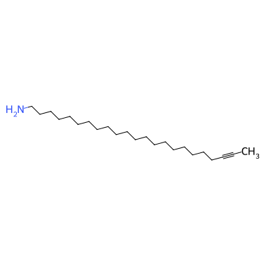 CC#CCCCCCCCCCCCCCCCCCCCCN